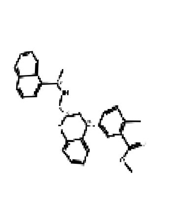 COC(=O)c1cc([C@H]2C[C@@H](CN[C@H](C)c3cccc4ccccc34)Oc3ccccc32)ccc1C